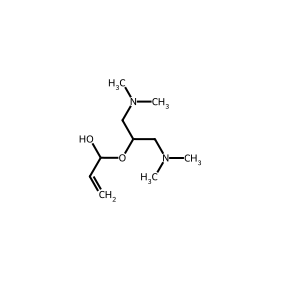 C=CC(O)OC(CN(C)C)CN(C)C